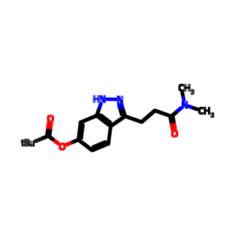 CN(C)C(=O)CCc1n[nH]c2cc(OC(=O)C(C)(C)C)ccc12